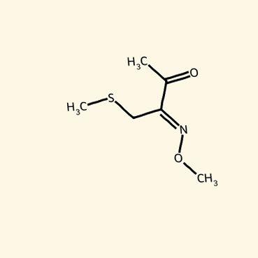 CON=C(CSC)C(C)=O